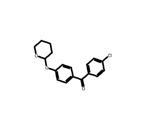 O=C(c1ccc(Cl)cc1)c1ccc(OC2CCCCO2)cc1